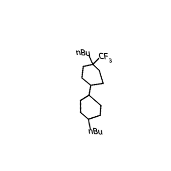 CCCCC1CCC(C2CCC(CCCC)(C(F)(F)F)CC2)CC1